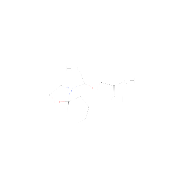 C=C(C)COC(C)N1CCOC12CCCCC2